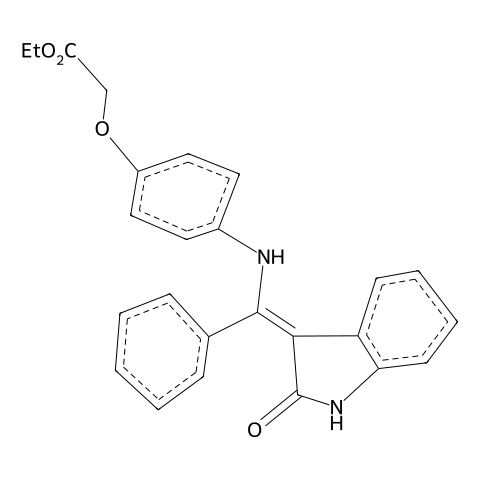 CCOC(=O)COc1ccc(NC(=C2C(=O)Nc3ccccc32)c2ccccc2)cc1